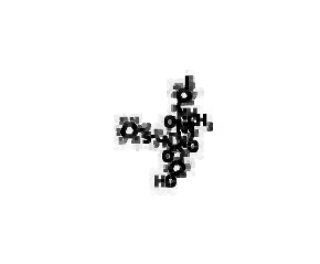 CN1CC(=O)N2C(CN(CCSCc3ccccc3)C(=O)[C@@H]2Cc2ccc(O)cc2)N1C(=O)NCc1ccc(F)cc1